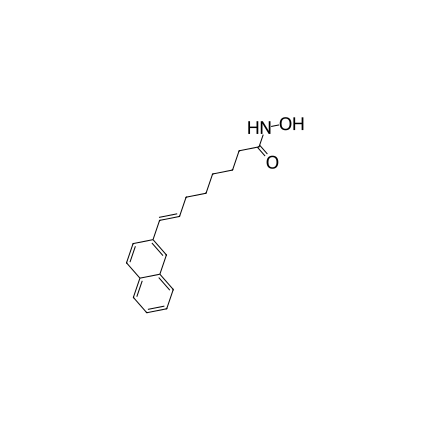 O=C(CCCCCC=Cc1ccc2ccccc2c1)NO